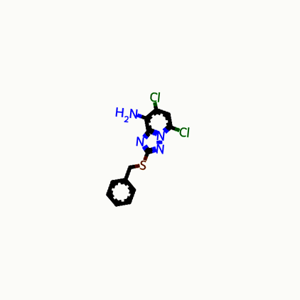 Nc1c(Cl)cc(Cl)n2nc(SCc3ccccc3)nc12